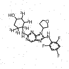 [2H]C1C(O)CC([2H])([2H])C([2H])(Nc2ncc3nc(Nc4c(F)cc(F)cc4F)n(C4CCOC4)c3n2)C1[2H]